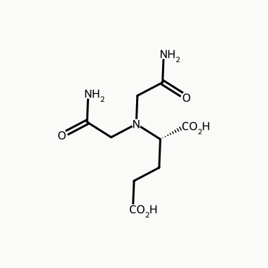 NC(=O)CN(CC(N)=O)[C@@H](CCC(=O)O)C(=O)O